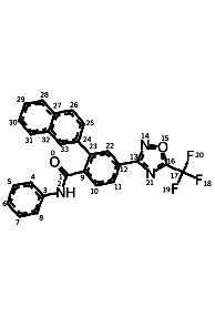 O=C(Nc1ccccc1)c1ccc(-c2noc(C(F)(F)F)n2)cc1-c1ccc2ccccc2c1